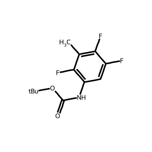 Cc1c(F)c(F)cc(NC(=O)OC(C)(C)C)c1F